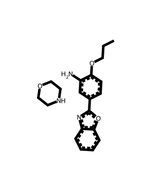 C1COCCN1.CCCOc1ccc(-c2nc3ccccc3o2)cc1N